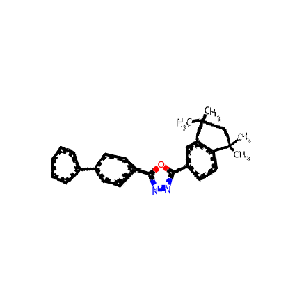 CC1(C)CC(C)(C)c2cc(-c3nnc(-c4ccc(-c5ccccc5)cc4)o3)ccc21